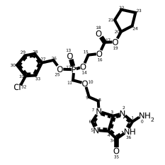 Nc1nc2c(ncn2CCOCP(=O)(OCOC(=O)OC2CCCC2)OCc2cccc(Cl)c2)c(=O)[nH]1